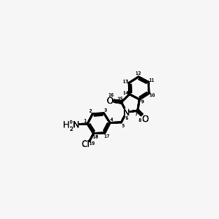 Nc1ccc(CN2C(=O)c3ccccc3C2=O)cc1Cl